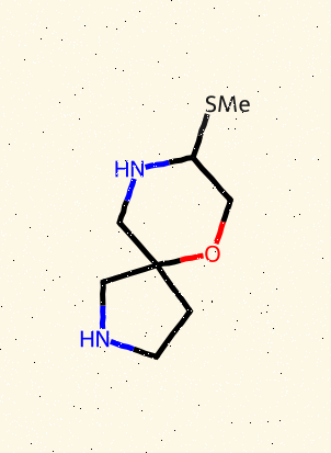 CSC1COC2(CCNC2)CN1